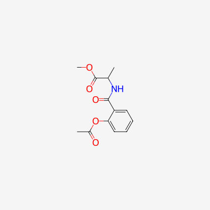 COC(=O)C(C)NC(=O)c1ccccc1OC(C)=O